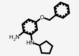 Nc1ccc(OCc2ccccc2)cc1NC1CCCC1